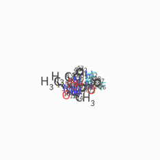 CCCCN(CCCC)C(=O)c1cc(C)n(-c2ccc(NC(=O)c3cc(F)ccc3C(F)(F)F)cc2C(=O)N2Cc3ccccc3C[C@H]2CO)n1